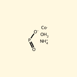 O.O=P[O-].[Co].[NH4+]